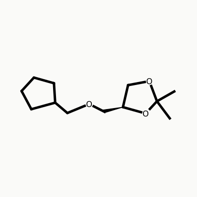 CC1(C)OC[C@H](COCC2CCCC2)O1